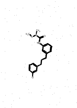 CON(C)C(=O)Nc1cccc(CCCc2cccc(Cl)c2)c1